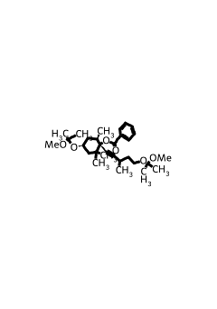 COC(C)(C)OCCC(C)C#C[C@]1(OC(=O)c2ccccc2)[C@H](C)C[C@@H](OC(C)(C)OC)CC1(C)C